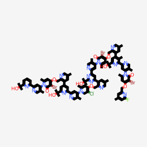 CC1=CC(OCc2ncc(C)cc2-c2cc(-c3cc(-n4c(C)cc(OCc5ncc(C)cc5-c5cc(C(C)(C)O)nc(-c6cc(-n7c(C)cc(OCc8cc(C)cc(F)n8)c(Br)c7=O)c(C)cn6)c5C)c(Br)c4=O)c(C)cn3)nc(C(C)(C)O)n2)=C(Cl)CN1c1cc(-c2cc(-c3cc(C)cnc3COc3cc(C)n(-c4cc(-c5cccc(C(C)(C)O)n5)ncc4C)c(=O)c3Br)cc(C(C)(C)O)n2)ncc1C